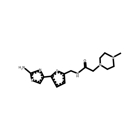 CN1CCN(CC(=O)NCc2ccc(-c3csc(N)n3)s2)CC1